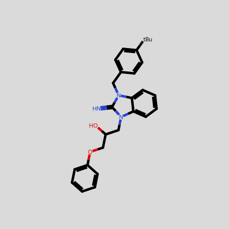 CC(C)(C)c1ccc(Cn2c(=N)n(CC(O)COc3ccccc3)c3ccccc32)cc1